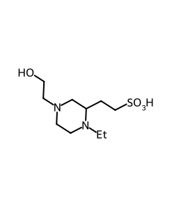 CCN1CCN(CCO)CC1CCS(=O)(=O)O